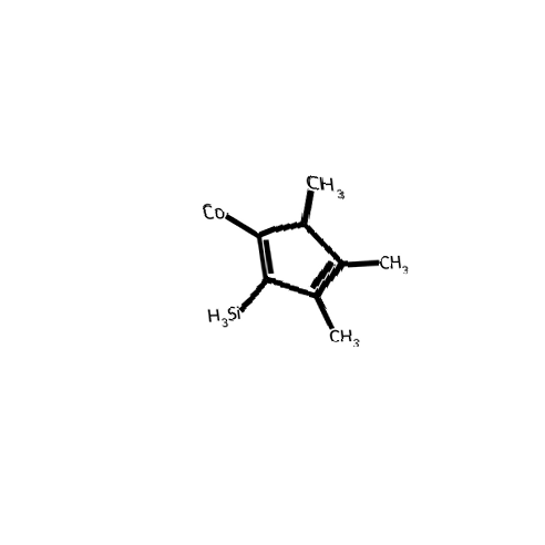 CC1=C(C)C(C)[C]([Co])=C1[SiH3]